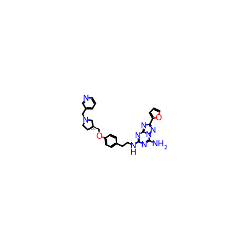 Nc1nc(NCCc2ccc(OC[C@H]3CCN(Cc4cccnc4)C3)cc2)nc2nc(-c3ccco3)nn12